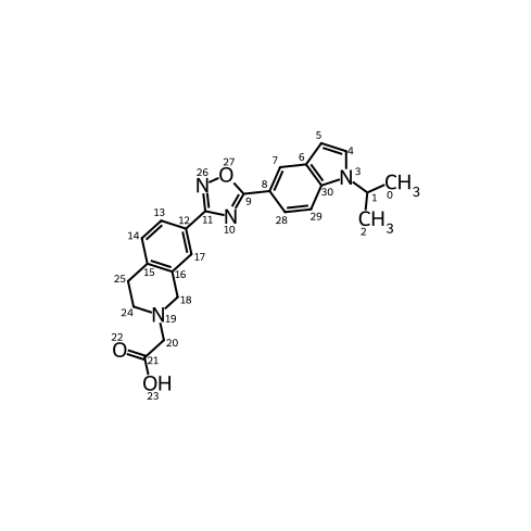 CC(C)n1ccc2cc(-c3nc(-c4ccc5c(c4)CN(CC(=O)O)CC5)no3)ccc21